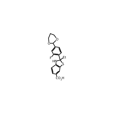 CCC1(c2ccc(C3OCCCO3)cc2F)Nc2ccc(C(=O)O)cc2S1